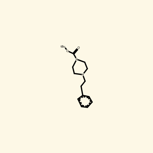 CC(C)(C)OC(=O)N1CCN(CCc2ccccc2)CC1